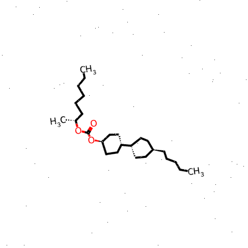 CCCCCC[C@@H](C)OC(=O)O[C@H]1CC[C@H]([C@H]2CC[C@H](CCCCC)CC2)CC1